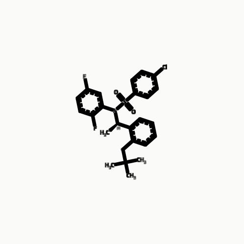 C[C@H](c1ccccc1[CH]C(C)(C)C)N(c1cc(F)ccc1F)S(=O)(=O)c1ccc(Cl)cc1